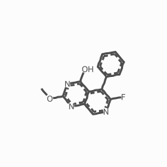 COc1nc(O)c2c(-c3ccccc3)c(F)ncc2n1